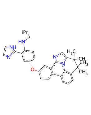 CC(C)CNc1ccc(Oc2ccc3c(c2)c2ncc4n2c2c(cccc32)C(C)(C)C4(C)C)cc1-c1ncc[nH]1